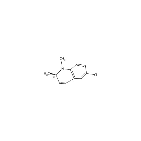 C[C@@H]1C=Cc2cc(Cl)ccc2N1C